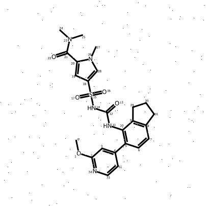 COc1cc(-c2ccc3c(c2NC(=O)NS(=O)(=O)c2cc(C(=O)N(C)C)n(C)c2)CCC3)ccn1